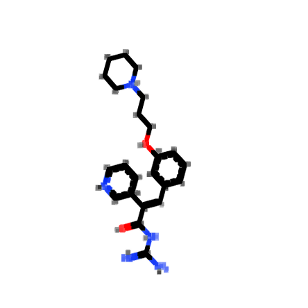 N=C(N)NC(=O)/C(=C/c1cccc(OCCCN2CCCCC2)c1)c1cccnc1